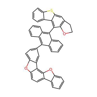 c1ccc2c(c1)oc1c2ccc2oc3ccc(-c4c5ccccc5c(-c5c6c(cc7sc8ccccc8c57)CCO6)c5ccccc45)cc3c21